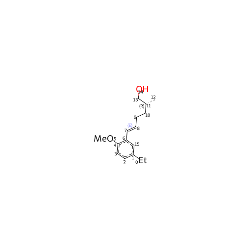 CCc1ccc(OC)c(/C=C/CC[C@@H](C)CO)c1